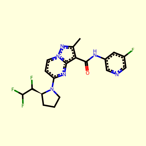 Cc1nn2ccc(N3CCC[C@H]3C(F)C(F)F)nc2c1C(=O)Nc1cncc(F)c1